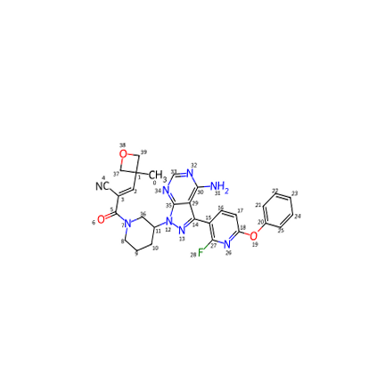 CC1(C=C(C#N)C(=O)N2CCCC(n3nc(-c4ccc(Oc5ccccc5)nc4F)c4c(N)ncnc43)C2)COC1